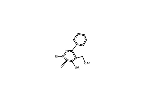 CCn1nc(-c2ccccc2)c(COC(C)=O)c(N)c1=O